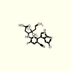 C=CCC(C)(C)C(CC(=O)O)Nc1nc(-c2c[nH]c3ncc(Cl)cc23)c(C#N)cc1F